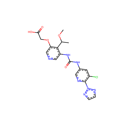 COC(C)c1c(NC(=O)Nc2cnc(-n3nccn3)c(Cl)c2)cncc1OCC(=O)O